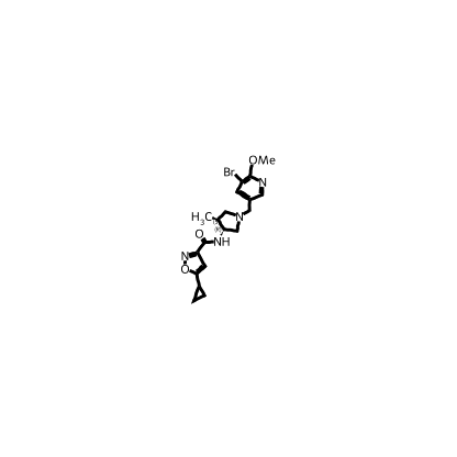 COc1ncc(CN2C[C@H](NC(=O)c3cc(C4CC4)on3)[C@@H](C)C2)cc1Br